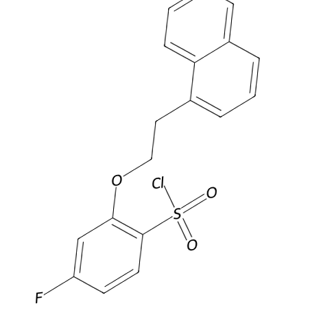 O=S(=O)(Cl)c1ccc(F)cc1OCCc1cccc2ccccc12